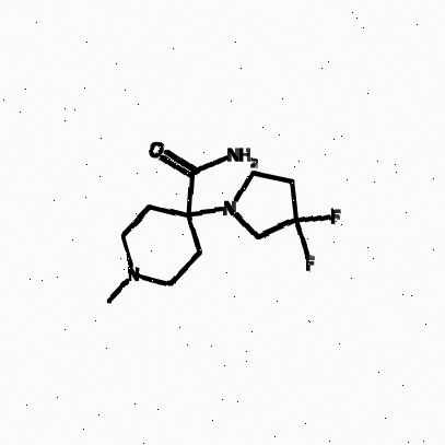 CN1CCC(C(N)=O)(N2CCC(F)(F)C2)CC1